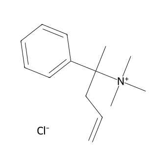 C=CCC(C)(c1ccccc1)[N+](C)(C)C.[Cl-]